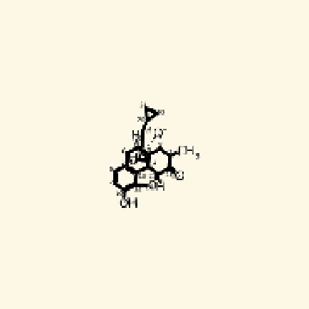 CC1CC2(O)[C@H]3Cc4ccc(O)c5c4[C@@]2(CC[N@+]3([O-])CC2CC2)[C@@H](O5)C1=O